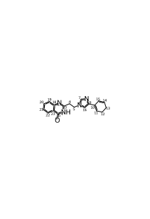 O=c1[nH]c(CCn2cnc(C3=CCCC=C3)c2)nc2ccccc12